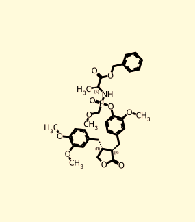 COCP(=O)(N[C@@H](C)C(=O)OCc1ccccc1)Oc1ccc(C[C@H]2C(=O)OC[C@@H]2Cc2ccc(OC)c(OC)c2)cc1OC